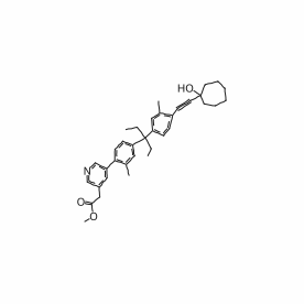 CCC(CC)(c1ccc(C#CC2(O)CCCCCC2)c(C)c1)c1ccc(-c2cncc(CC(=O)OC)c2)c(C)c1